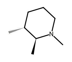 C[C@@H]1CCCN(C)[C@H]1C